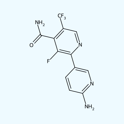 NC(=O)c1c(C(F)(F)F)cnc(-c2ccc(N)nc2)c1F